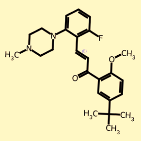 COc1ccc(C(C)(C)C)cc1C(=O)/C=C/c1c(F)cccc1N1CCN(C)CC1